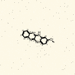 COc1cccc(Nc2nc3ccccc3nc2N)c1